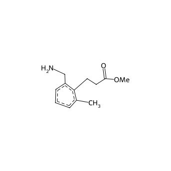 COC(=O)CCc1c(C)cccc1CN